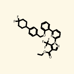 CCOC(=O)c1cnn(-c2cccc(-c3ccccc3OCc3ccc(C4CCC(F)(F)CC4)cc3)n2)c1C(F)(F)F